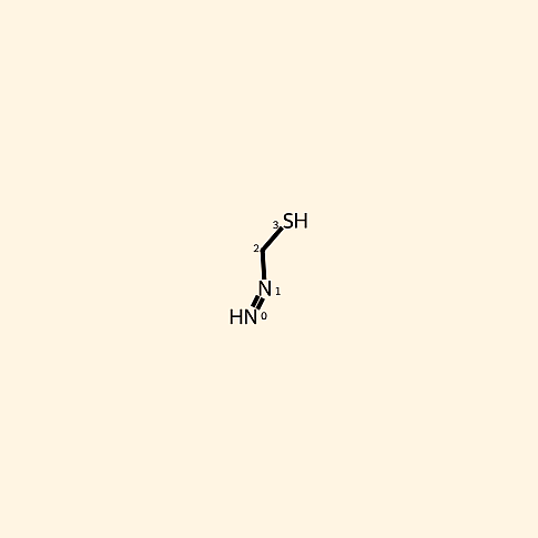 N=NCS